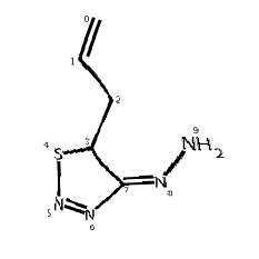 C=CCC1SN=N/C1=N/N